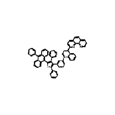 c1ccc(-c2sc(-c3c4ccccc4c(-c4ccccc4)c4ccccc34)c(-c3ccccc3)c2-c2cccc(-c3ccc(-c4ccc5ccc6cccnc6c5n4)c4ccccc34)c2)cc1